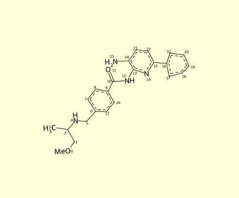 COCC(C)NCc1ccc(C(=O)Nc2nc(-c3ccccc3)ccc2N)cc1